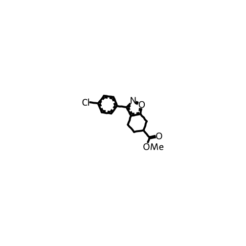 COC(=O)C1CCc2c(-c3ccc(Cl)cc3)noc2C1